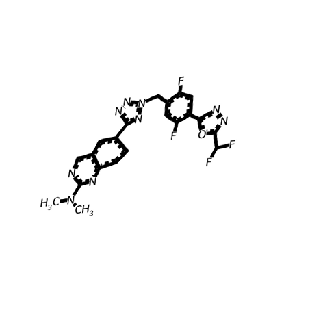 CN(C)c1ncc2cc(-c3nnn(Cc4cc(F)c(-c5nnc(C(F)F)o5)cc4F)n3)ccc2n1